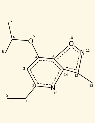 CCc1cc(OC(C)C)c2onc(C)c2n1